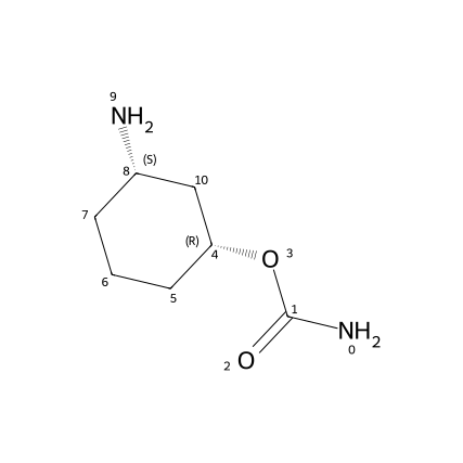 NC(=O)O[C@@H]1CCC[C@H](N)C1